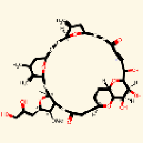 C=C1C(C)CC2CC[C@@H]3OC(CCC(=O)/C=C/C(O)C4O[C@H]5CC[C@H](CC(=O)CC6[C@H](CC1O2)O[C@H](CC(O)CO)[C@@H]6OC)OC5[C@H](O)[C@@H]4O)CC3=C